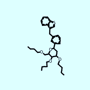 CCCCOCC1OC(c2cccc(Cc3csc4ccccc34)c2)CC(OCCCC)C1OCCCC